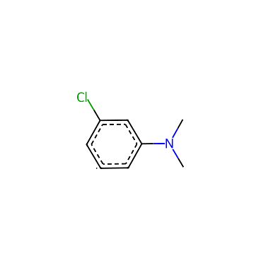 CN(C)c1c[c]cc(Cl)c1